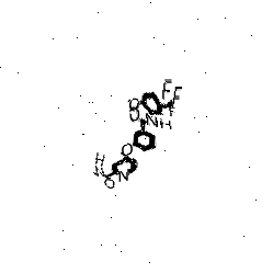 CNC(=O)c1cc(Oc2cccc(C(=O)Nc3cc(C(F)(F)F)ccc3OC)c2)ccn1